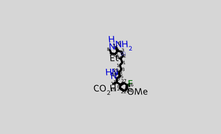 CCC(/C=C\C1=C(N)NCCC1)CCCc1cc(C(CC(=O)O)c2ccc(OC)c(F)c2)n[nH]1